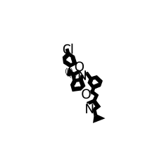 O=C(CC1=CC(C2CC2)=NC1)c1cccc(CN2C(=O)[C@]3(C[C@@H]3c3ccc(Cl)cc3)c3ccccc32)c1